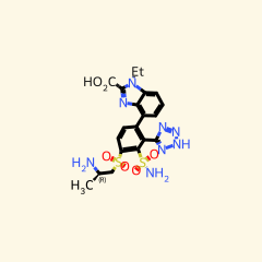 CCn1c(C(=O)O)nc2c(-c3ccc(S(=O)(=O)C[C@@H](C)N)c(S(N)(=O)=O)c3-c3nn[nH]n3)cccc21